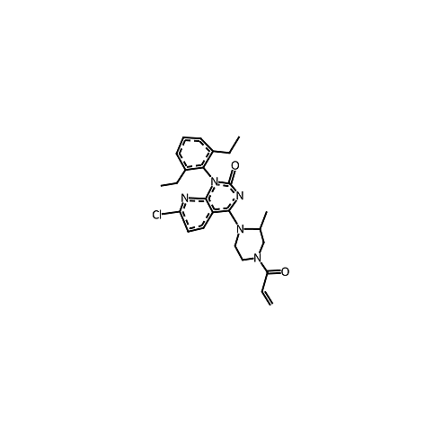 C=CC(=O)N1CCN(c2nc(=O)n(-c3c(CC)cccc3CC)c3nc(Cl)ccc23)C(C)C1